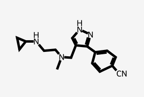 CN(CCNC1CC1)Cc1c[nH]nc1-c1ccc(C#N)cc1